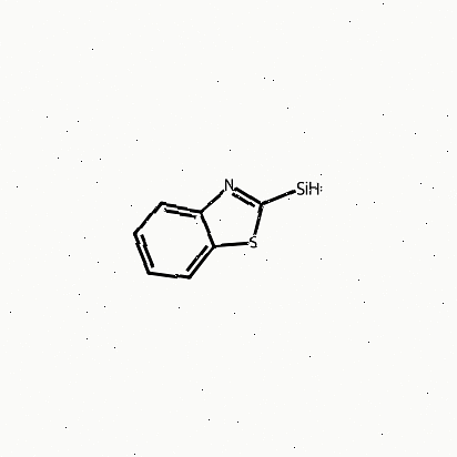 [SiH]c1nc2ccccc2s1